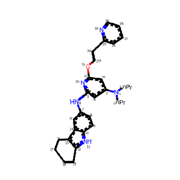 CCCN(CCC)c1cc(Nc2ccc3[nH]c4c(c3c2)CCCC4)nc(OCCc2ccccn2)c1